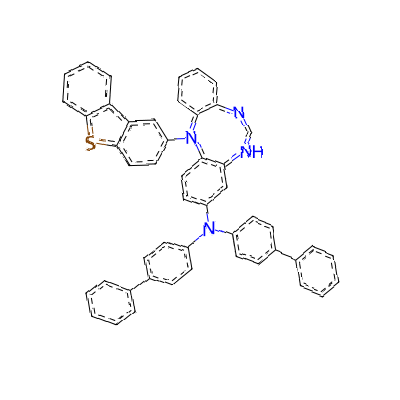 c1ccc(-c2ccc(N(c3ccc(-c4ccccc4)cc3)c3ccc4c(c3)[nH]cnc3ccccc3n4-c3ccc4sc5ccccc5c4c3)cc2)cc1